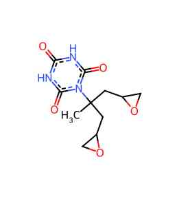 CC(CC1CO1)(CC1CO1)n1c(=O)[nH]c(=O)[nH]c1=O